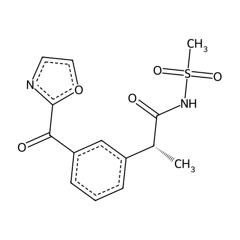 C[C@@H](C(=O)NS(C)(=O)=O)c1cccc(C(=O)c2ncco2)c1